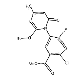 CCOc1nc(C(F)(F)F)cc(=O)n1-c1cc(C(=O)OC)c(Cl)cc1F